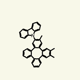 Cc1cc2c(cc1C)-c1cc(C)c(-n3c4ccccc4c4ccccc43)cc1-c1ccccc1-c1ccccc1-2